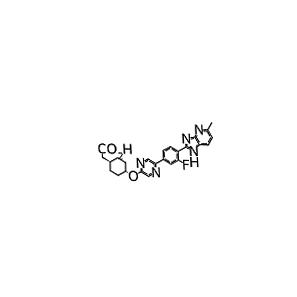 Cc1ccc2[nH]c(-c3ccc(-c4cnc(O[C@H]5CC[C@H](CC(=O)O)CC5)cn4)cc3F)nc2n1